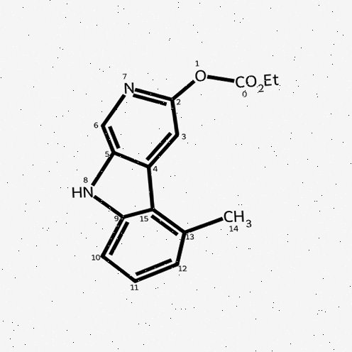 CCOC(=O)Oc1cc2c(cn1)[nH]c1cccc(C)c12